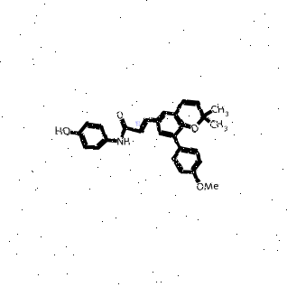 COc1ccc(-c2cc(/C=C/C(=O)Nc3ccc(O)cc3)cc3c2OC(C)(C)C=C3)cc1